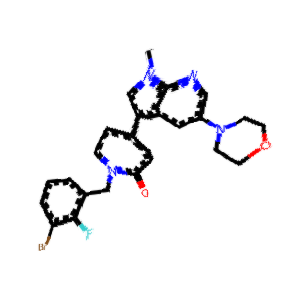 [CH2]n1cc(-c2ccn(Cc3cccc(Br)c3F)c(=O)c2)c2cc(N3CCOCC3)cnc21